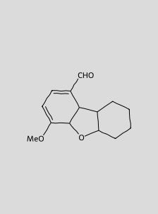 COC1=CC=C(C=O)C2C1OC1CCCCC12